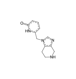 O=c1cccc(Cn2cnc3c2CCNC3)[nH]1